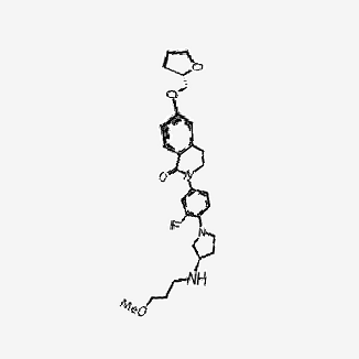 COCCCN[C@@H]1CCN(c2ccc(N3CCc4cc(OC[C@@H]5CCCO5)ccc4C3=O)cc2F)C1